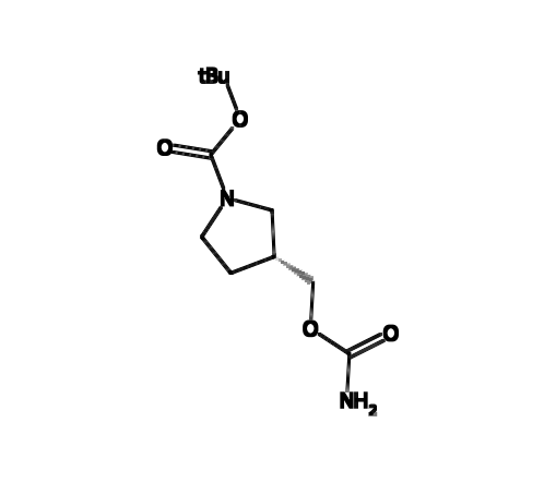 CC(C)(C)OC(=O)N1CC[C@@H](COC(N)=O)C1